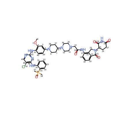 COc1cc(N2CCC(N3CCN(CC(=O)Nc4cccc5c4CN(C4CCC(=O)NC4=O)C5=O)CC3)CC2)ccc1Nc1ncc(Cl)c(Nc2ccccc2P(C)(C)=O)n1